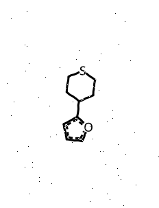 c1coc(C2CCSCC2)c1